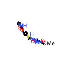 COCC(=O)NCc1cn(CC(=O)NCC(C)(C)SSc2ccc(CCOCC(=O)NN3CCCC3)cc2)nn1